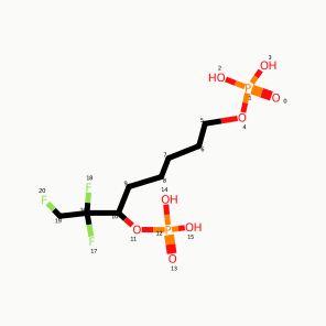 O=P(O)(O)OCCCCCC(OP(=O)(O)O)C(F)(F)CF